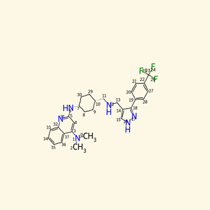 CN(C)c1cc(N[C@H]2CC[C@@H](CNCc3c[nH]nc3-c3ccc(C(F)(F)F)cc3)CC2)nc2ccccc12